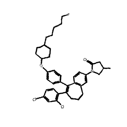 CC1CC(=O)N(c2ccc3c(c2)CCCC(c2ccc(Cl)cc2Cl)=C3c2ccc(OC3CCC(CCCCCF)CC3)cc2)C1